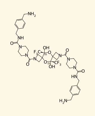 NCc1ccc(CNC(=O)N2CCN(C(=O)N3CC4(C3)O[C@](O)(C(F)(F)F)C3(CN(C(=O)N5CCN(C(=O)NCc6ccc(CN)cc6)CC5)C3)O[C@]4(O)C(F)(F)F)CC2)cc1